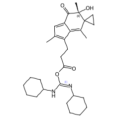 CC1=C(CCC(=O)O/C(=N/C2CCCCC2)NC2CCCCC2)C2=C(C)C3(CC3)[C@@](C)(O)C(=O)C2=C1